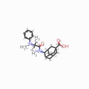 CN(c1ccccc1)C(C)(C)C(=O)NC1C2CC3CC1CC(C(=O)O)(C3)C2